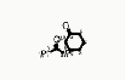 CC(C)C(=O)C(C)C.O=C1CCCCC1